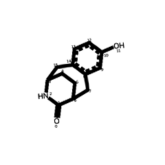 O=C1NC2CCC1Cc1cc(O)ccc1C2